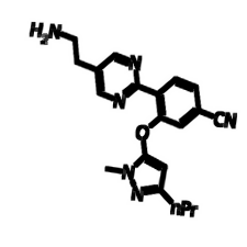 CCCc1cc(Oc2cc(C#N)ccc2-c2ncc(CCN)cn2)n(C)n1